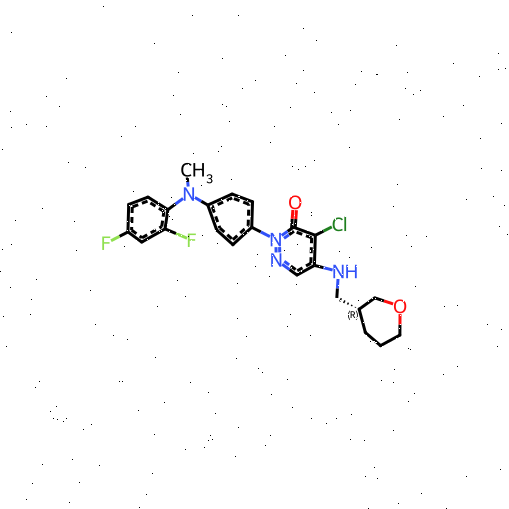 CN(c1ccc(-n2ncc(NC[C@H]3CCCOC3)c(Cl)c2=O)cc1)c1ccc(F)cc1F